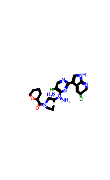 NN(c1nc(-c2c[nH]c3c2=CC(Cl)CN=3)ncc1F)[C@@]1(N)CCCN(C(=O)C2CCCCO2)C1